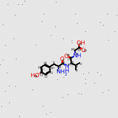 CC(C)[C@H](NC(=O)[C@@H](N)Cc1ccc(O)cc1)C(=O)NCC(=O)O